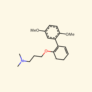 COc1ccc(OC)c(C2=C(OCCCN(C)C)[CH]CC=C2)c1